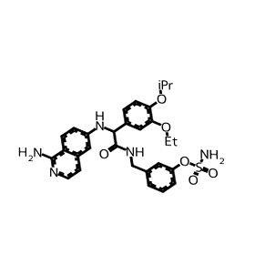 CCOc1cc(C(Nc2ccc3c(N)nccc3c2)C(=O)NCc2cccc(OS(N)(=O)=O)c2)ccc1OC(C)C